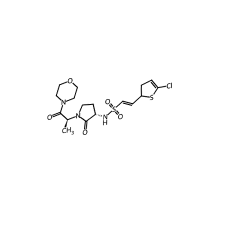 C[C@@H](C(=O)N1CCOCC1)N1CC[C@H](NS(=O)(=O)/C=C/C2CC=C(Cl)S2)C1=O